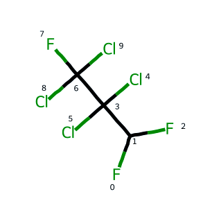 FC(F)C(Cl)(Cl)C(F)(Cl)Cl